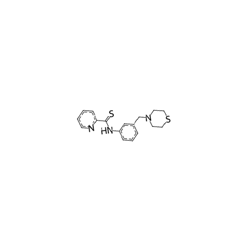 S=C(Nc1cccc(CN2CCSCC2)c1)c1ccccn1